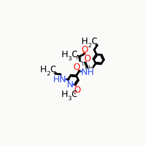 C=CCNc1cc(C(=O)N[C@@H](Cc2cccc(CC=C)c2)[C@@H]2C[C@@H](C)C(=O)O2)cc(OC)n1